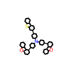 c1ccc2c(c1)oc1cccc(-c3ccc(N(c4ccc(-c5ccc6c(c5)sc5ccccc56)cc4)c4ccc(-c5cccc6oc7ccccc7c56)cc4)cc3)c12